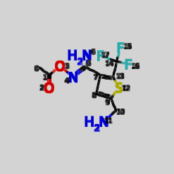 CC(=O)ON=C(N)c1cc(CN)sc1C(F)(F)F